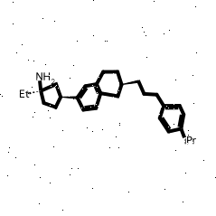 CC[C@@]1(N)CC[C@H](c2ccc3c(c2)CC[C@@H](CCCc2ccc(C(C)C)cc2)C3)C1